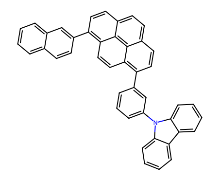 c1cc(-c2ccc3ccc4ccc(-c5ccc6ccccc6c5)c5ccc2c3c45)cc(-n2c3ccccc3c3ccccc32)c1